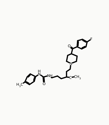 CCC(CCCNC(=O)Nc1ccc(C)cc1)CCN1CCC(C(=O)c2ccc(F)cc2)CC1